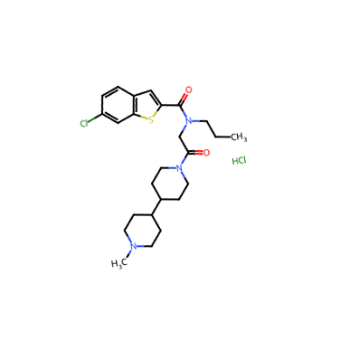 CCCN(CC(=O)N1CCC(C2CCN(C)CC2)CC1)C(=O)c1cc2ccc(Cl)cc2s1.Cl